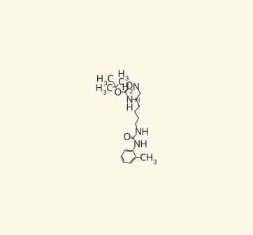 Cc1ccccc1NC(=O)NCCCC[C@H](CN)NC(=O)OC(C)(C)C